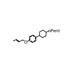 C/C=C/COc1ccc(C2CCC(CCCCC)CC2)cc1